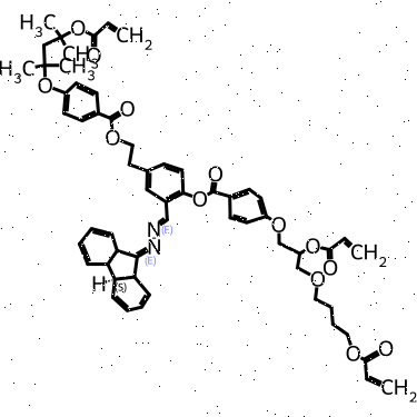 C=CC(=O)OCCCCOCC(COc1ccc(C(=O)Oc2ccc(CCOC(=O)c3ccc(OC(C)(C)CC(C)(C)OC(=O)C=C)cc3)cc2/C=N/N=C2\C3C=CC=CC3[C@@H]3C=CC=CC23)cc1)OC(=O)C=C